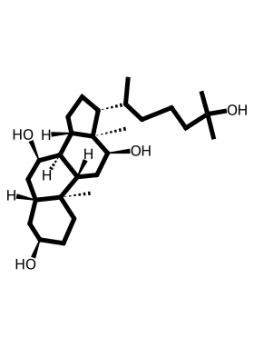 CC(CCCC(C)(C)O)[C@H]1CC[C@H]2[C@@H]3[C@H](O)C[C@H]4C[C@H](O)CC[C@]4(C)[C@H]3C[C@H](O)[C@]12C